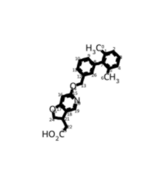 Cc1cccc(C)c1-c1cccc(COc2cc3c(cn2)C(CC(=O)O)CO3)c1